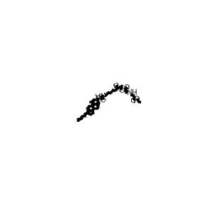 CCCCCCC1CCC2C3CCC4(C)CC(OC(=O)NCCCCCC(=O)C(C)OC(=O)CNCCC(=O)OCC)CC(C)C4(C)C3CCC12C